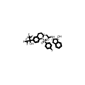 O=C(C[C@@H]1CCc2cc(C(O)(C(F)(F)F)C(F)(F)F)ccc2N1S(=O)(=O)c1ccc(F)cc1)N[C@H]1Cc2ccccc2[C@H]1O